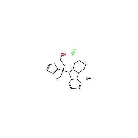 CCC(CCO)(C1=CC=CC1)C1C2C=CC=CC2C2CCCCC21.[Cl-].[Cl-].[Zr+2]